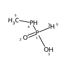 [3H]P(=O)(O)PC